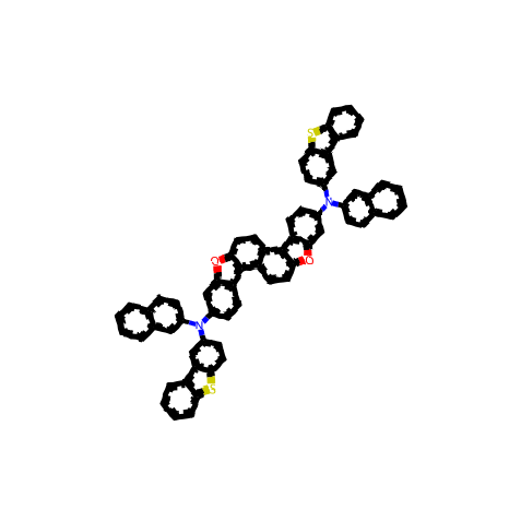 c1ccc2cc(N(c3ccc4c(c3)oc3ccc5c(ccc6oc7cc(N(c8ccc9ccccc9c8)c8ccc9sc%10ccccc%10c9c8)ccc7c65)c34)c3ccc4sc5ccccc5c4c3)ccc2c1